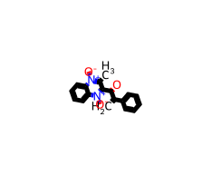 C=C(C(=O)c1c(C)[n+]([O-])c2ccccc2[n+]1[O-])c1ccccc1